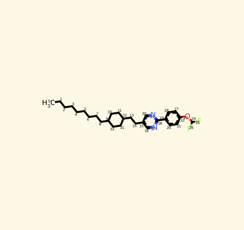 CCCCCCCCCC1CCC(CCc2cnc(-c3ccc(OC(F)F)cc3)nc2)CC1